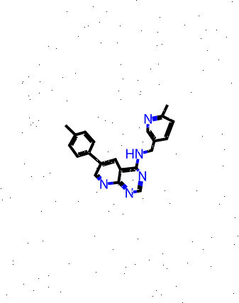 Cc1ccc(-c2cnc3ncnc(NCc4ccc(C)nc4)c3c2)cc1